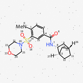 CNc1ccc(C(=O)N[C@@H]2C[C@@H]3CC[C@@H]2C3)cc1S(=O)(=O)N1CCOCC1